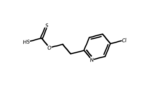 S=C(S)OCCc1ccc(Cl)cn1